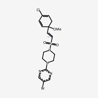 COC1(/C=C/S(=O)(=O)N2CCN(c3ncc(Br)cn3)CC2)C=CC(Cl)=CC1